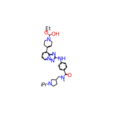 CCOC(O)N1CC=C(c2cccn3nc(Nc4ccc(C(=O)N(C)CC5CCN(C(C)C)C5)cc4)nc23)CC1